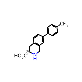 O=C(O)[C@@H]1Cc2ccc(-c3ccc(C(F)(F)F)cc3)cc2CN1